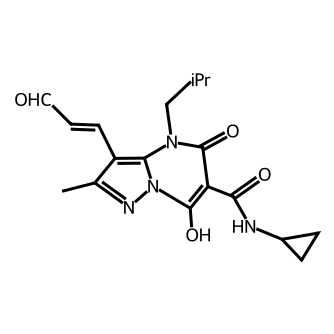 Cc1nn2c(O)c(C(=O)NC3CC3)c(=O)n(CC(C)C)c2c1/C=C/C=O